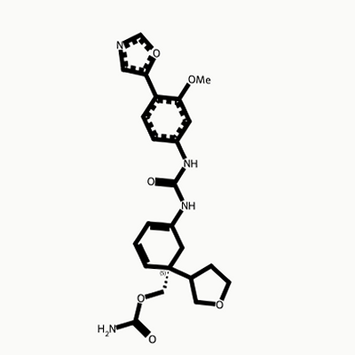 COc1cc(NC(=O)NC2=CC=C[C@](COC(N)=O)(C3CCOC3)C2)ccc1-c1cnco1